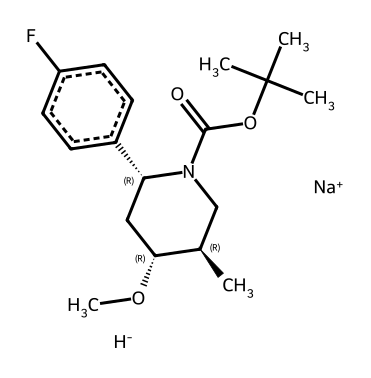 CO[C@@H]1C[C@H](c2ccc(F)cc2)N(C(=O)OC(C)(C)C)C[C@H]1C.[H-].[Na+]